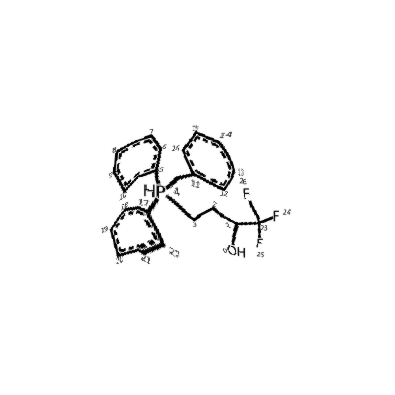 OC(CC[PH](c1ccccc1)(c1ccccc1)c1ccccc1)C(F)(F)F